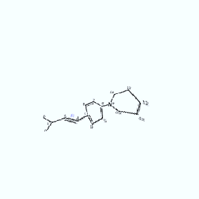 CC(C)/C=C/c1ccc(N2CCCCC2)cc1